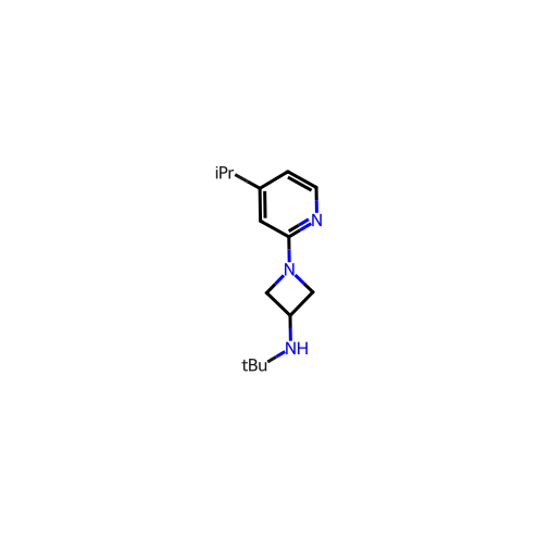 CC(C)c1ccnc(N2CC(NC(C)(C)C)C2)c1